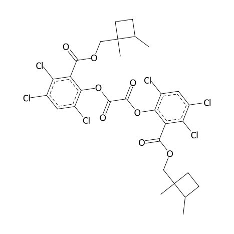 CC1CCC1(C)COC(=O)c1c(Cl)c(Cl)cc(Cl)c1OC(=O)C(=O)Oc1c(Cl)cc(Cl)c(Cl)c1C(=O)OCC1(C)CCC1C